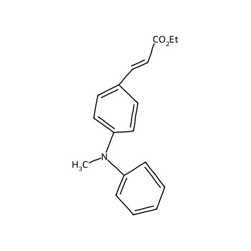 CCOC(=O)/C=C/c1ccc(N(C)c2ccccc2)cc1